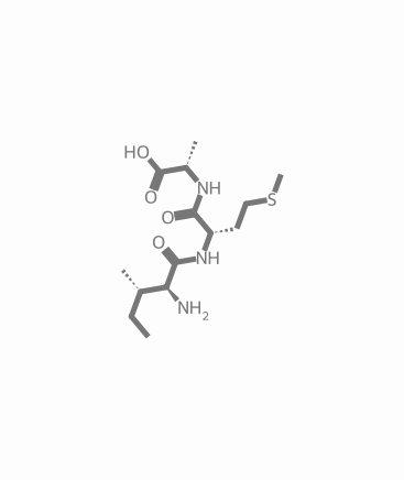 CC[C@H](C)[C@H](N)C(=O)N[C@@H](CCSC)C(=O)N[C@@H](C)C(=O)O